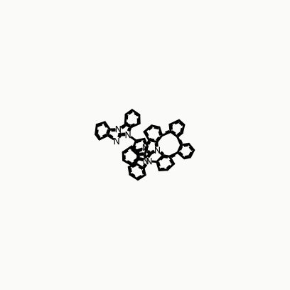 c1ccc2c(c1)nc1n(-c3ccc4c(c3)c3ccccc3n4-c3cccc4c5ccccc5c5ccccc5c5cccc6c5n(c34)c3nc4ccccc4n63)c3ccccc3n21